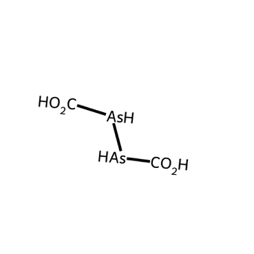 O=C(O)[AsH][AsH]C(=O)O